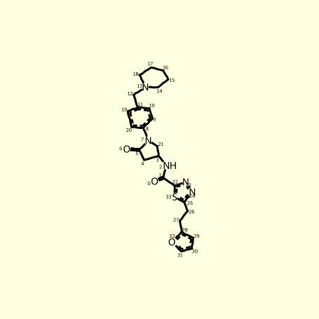 O=C(NC1CC(=O)N(c2ccc(CN3CCCCC3)cc2)C1)c1nnc(CCc2ccco2)s1